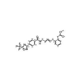 COC(=O)Cc1ccccc1CON=CCNC(=O)c1ccc(-c2noc(C(F)(F)F)n2)cc1